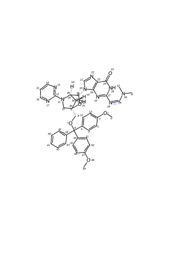 COc1ccc(C(OC[C@@]23CN(c4ncccn4)[C@@H]([C@H](n4cnc5c(=O)[nH]c(/N=C\N(C)C)nc54)O2)[C@@H]3O)(c2ccccc2)c2ccc(OC)cc2)cc1